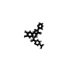 CC(C)N1CCN(C(=O)n2cc3c(=O)n(-c4ccccn4)nc-3c3cc(F)c(F)cc32)CC1